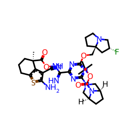 CC(C)(C)OC(=O)N1[C@@H]2CC[C@H]1CN(c1nc(OC[C@@]34CCCN3C[C@H](F)C4)nc(C(=N)NOC(=O)[C@]3(C)CCCc4sc(N)c(C#N)c43)n1)C2